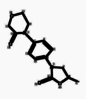 [CH2]C1CN(c2ccc(N3CCOCC3=O)cc2)C(=O)O1